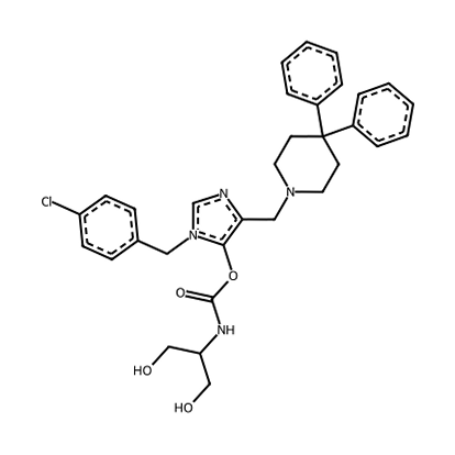 O=C(NC(CO)CO)Oc1c(CN2CCC(c3ccccc3)(c3ccccc3)CC2)ncn1Cc1ccc(Cl)cc1